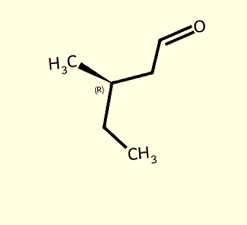 CC[C@@H](C)CC=O